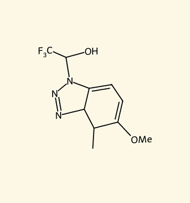 COC1=CC=C2C(N=NN2C(O)C(F)(F)F)C1C